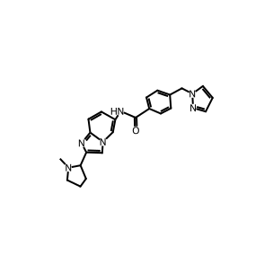 CN1CCCC1c1cn2cc(NC(=O)c3ccc(Cn4cccn4)cc3)ccc2n1